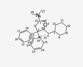 C[C@@H](CC(C(=O)CC1CCCCC1)(c1ccccc1)[C@]1(C)C=CC=CC1)N(C)C